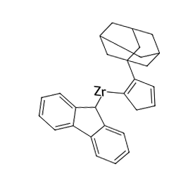 C1=CC(C23CC4CC(CC(C4)C2)C3)=[C]([Zr][CH]2c3ccccc3-c3ccccc32)C1